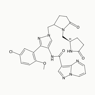 COc1ccc(Cl)cc1-c1nn(CC2CCC(=O)N2C[C@H]2CCC(=O)N2)cc1NC(=O)c1cnn2cccnc12